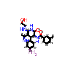 CC(=N)C1=C(NCCO)NC(=O)C(NC(=O)c2cccc(C)c2)C1c1ccc(P)cc1